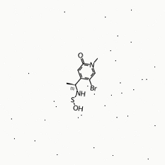 C[C@H](NSO)c1cc(=O)n(C)cc1Br